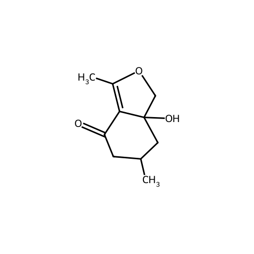 CC1=C2C(=O)CC(C)CC2(O)CO1